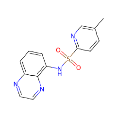 Cc1ccc(S(=O)(=O)Nc2cccc3nccnc23)nc1